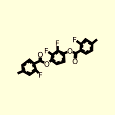 Cc1ccc(C(=O)Oc2ccc(OC(=O)c3ccc(C)cc3F)c(F)c2F)c(F)c1